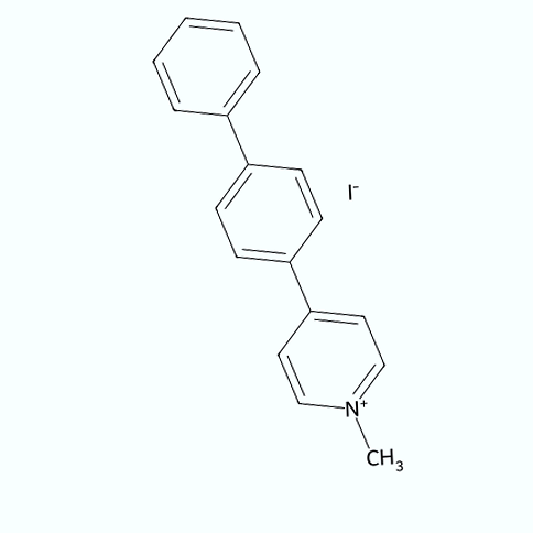 C[n+]1ccc(-c2ccc(-c3ccccc3)cc2)cc1.[I-]